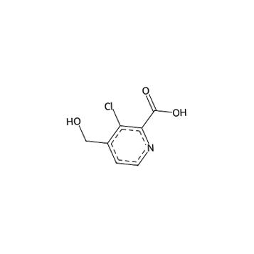 O=C(O)c1nccc(CO)c1Cl